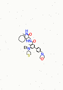 CCN(c1cc(-c2ccc(CN3CCOCC3)cc2)cc(C(=O)NCC2C(=O)NC(C)C3(CCCCCCCC3)C2C)c1C)C1CCSCC1